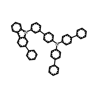 c1ccc(-c2ccc(N(c3ccc(-c4ccccc4)cc3)c3ccc(-c4cccc(-n5c6ccccc6c6ccc(-c7ccccc7)cc65)c4)cc3)cc2)cc1